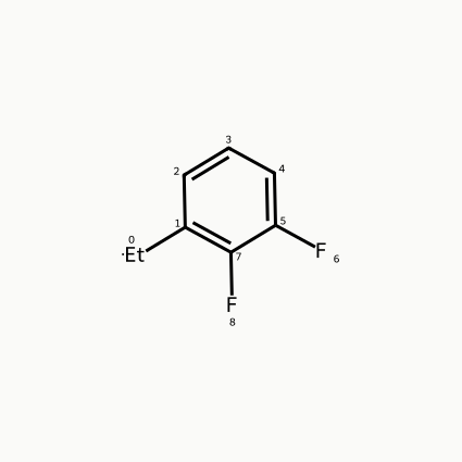 C[CH]c1cccc(F)c1F